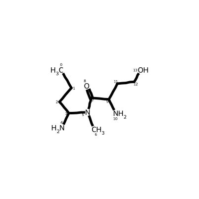 CCCC(N)N(C)C(=O)C(N)CCO